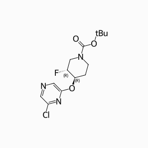 CC(C)(C)OC(=O)N1CC[C@@H](Oc2cncc(Cl)n2)[C@H](F)C1